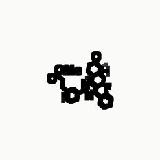 COC(=O)CCc1cc(-c2nc(-c3ccccc3F)c3c(n2)[C@]2(C)CCC(=O)[C@H](C)[C@H]2CC3)ccn1